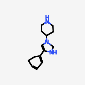 C1=CCCC(C2=CN(C3CCNCC3)CN2)=C1